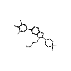 COCCn1c(C2CCC(F)(F)CC2)nc2ccc(-c3cc(C)c(=O)n(C)c3)cc21